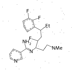 CCC(CC(F)C(CCNC)/N=C(\N)c1cccnc1)c1cccc(F)c1F